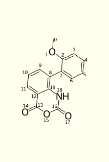 COc1ccccc1-c1cccc2c(=O)oc(=O)[nH]c12